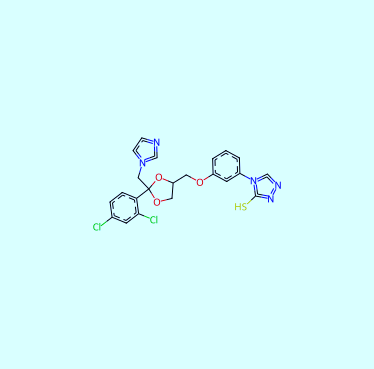 Sc1nncn1-c1cccc(OCC2COC(Cn3ccnc3)(c3ccc(Cl)cc3Cl)O2)c1